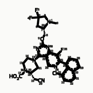 CN1CC(F)(F)C[C@H]1COc1nc(N2CCN(C(=O)O)[C@@H](CC#N)C2)c2cnc(-c3cccc4cccc(Cl)c34)c(F)c2n1